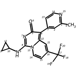 Cc1cc(-c2c(=O)nc(NC3CC3)n3ccc(C(F)(F)F)cc23)ccn1